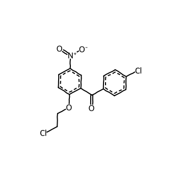 O=C(c1ccc(Cl)cc1)c1cc([N+](=O)[O-])ccc1OCCCl